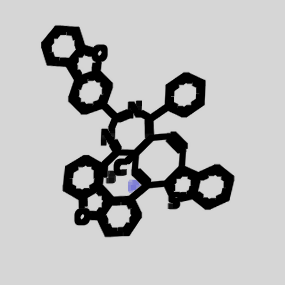 CC12/C=C3\c4sc5ccccc5c4C#CC1=C(c1ccccc1)N=C(c1ccc4c(c1)oc1ccccc14)N=C2c1cccc2oc4cccc3c4c12